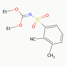 CCOC(=NS(=O)(=O)c1cccc(C)c1C#N)OCC